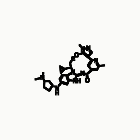 Cc1cc2cc(n1)-c1cnn(C)c1OCCC(C1CC1)N1/C(=N/C2=O)Nc2cc(N[C@@H]3CCC(N(C)C)C3)ccc21